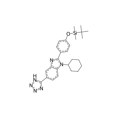 CC(C)(C)[Si](C)(C)Oc1ccc(-c2nc3cc(-c4nnn[nH]4)ccc3n2C2CCCCC2)cc1